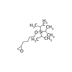 CC(C)[Si](OCCCCC1CO1)(C(C)C)C(C)C